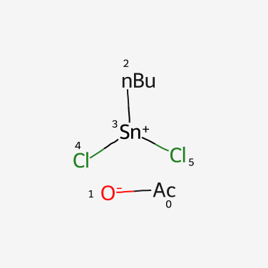 CC(=O)[O-].CCC[CH2][Sn+]([Cl])[Cl]